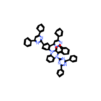 c1ccc(-c2cc(-c3ccccc3)nc(-c3ccc(N4c5ccccc5N(c5nc(-c6ccccc6)nc(-c6ccccc6)n5)c5ccccc54)c(-c4cc(-c5ccccc5)nc(-c5ccccc5)n4)c3)n2)cc1